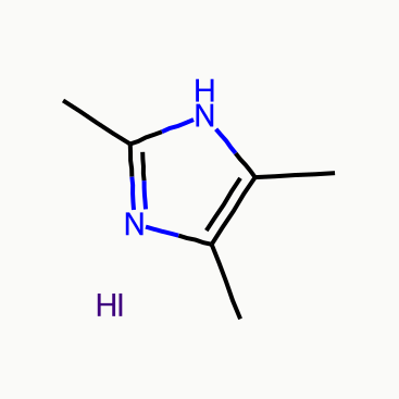 Cc1nc(C)c(C)[nH]1.I